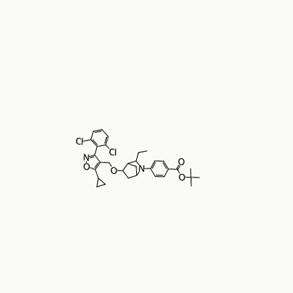 CCC1C2CC(CC2OCc2c(-c3c(Cl)cccc3Cl)noc2C2CC2)N1c1ccc(C(=O)OC(C)(C)C)cc1